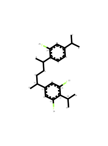 CC(C)c1ccc(C(C)CCC(C)c2cc(F)c(C(C)C)c(F)c2)c(F)c1